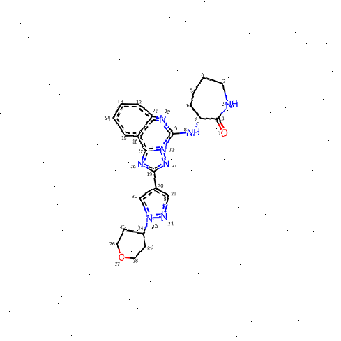 O=C1NCCCC[C@H]1Nc1nc2ccccc2c2nc(-c3cnn(C4CCOCC4)c3)nn12